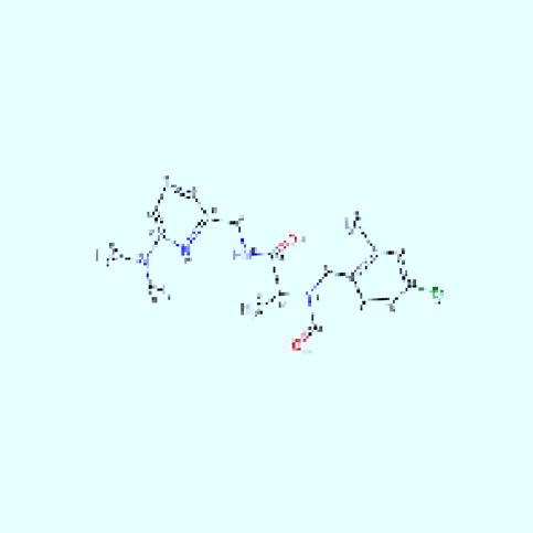 Cc1cc(Br)ccc1CN(C=O)C(C)C(=O)NCc1cccc(N(C)C)n1